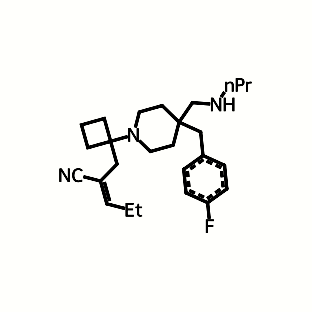 CC/C=C(/C#N)CC1(N2CCC(CNCCC)(Cc3ccc(F)cc3)CC2)CCC1